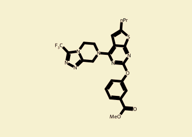 CCCc1cc2c(N3CCn4c(nnc4C(F)(F)F)C3)nc(Oc3cccc(C(=O)OC)c3)nc2s1